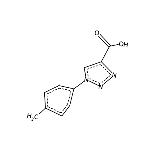 Cc1c[c]c(-n2cc(C(=O)O)nn2)cc1